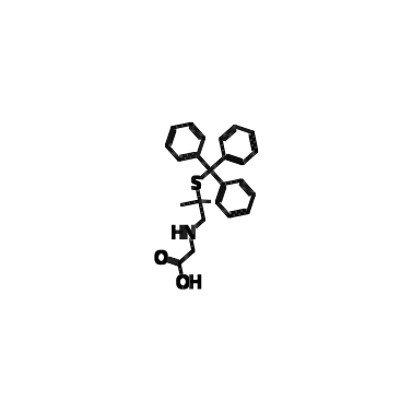 CC(C)(CNCC(=O)O)SC(c1ccccc1)(c1ccccc1)c1ccccc1